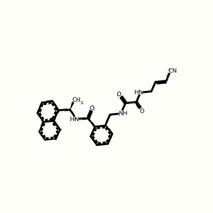 C[C@@H](NC(=O)c1ccccc1CNC(=O)C(=O)NC/C=C/C#N)c1cccc2ccccc12